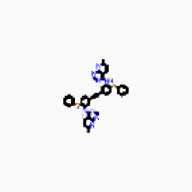 Cc1ccc2c(Nc3cc(C#Cc4ccc(Sc5ccccc5)c(Nc5ncnc6nc(C)ccc56)c4)ccc3Sc3ccccc3)ncnc2n1